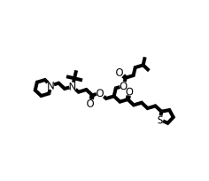 CC(C)CCC(=O)OCC(COC(=O)CCN(CCN1CCCCC1)C(C)(C)C)CC(=O)CCCCC1CCCS1